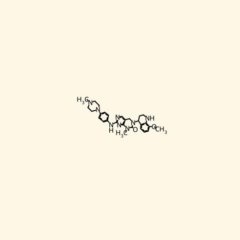 COc1cccc2c1NCCC2N1Cc2cnc(Nc3ccc(N4CCN(C)CC4)cc3)nc2N(C)C1=O